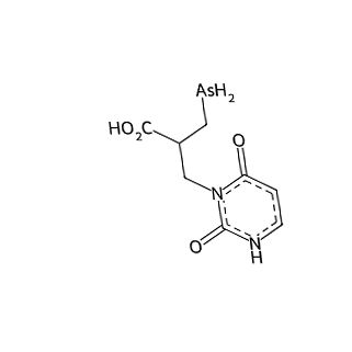 O=C(O)C(C[AsH2])Cn1c(=O)cc[nH]c1=O